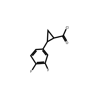 O=C(Cl)C1CC1c1ccc(F)c(F)c1